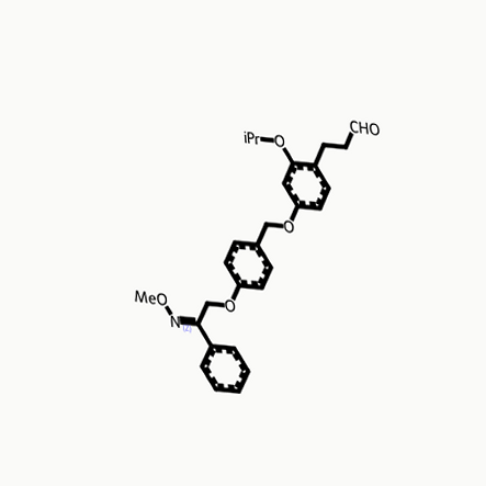 CO/N=C(\COc1ccc(COc2ccc(CCC=O)c(OC(C)C)c2)cc1)c1ccccc1